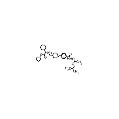 CC(C)COC(C)ONC(=O)c1ccc(N2CCC(CN[C@H](C(=O)OC3CCCC3)C3CCCCC3)CC2)cc1